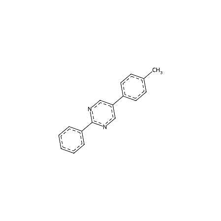 Cc1ccc(-c2cnc(-c3ccccc3)nc2)cc1